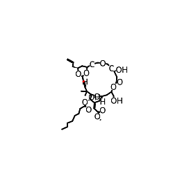 C=CC[C@H]1CC2CCOCC[C@@H](O)CC(=O)OC(CO)C[C@@H]3C/C(=C\C(=O)OC)[C@H](OC(=O)CCCCCCC)[C@@](O)(O3)C(C)(C)/C=C/[C@H](O2)O1